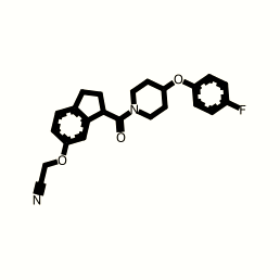 N#CCOc1ccc2c(c1)C(C(=O)N1CCC(Oc3ccc(F)cc3)CC1)CC2